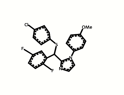 COc1ccc(-n2ccnc2C(Sc2ccc(Cl)cc2)c2cc(F)ccc2F)cc1